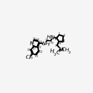 CN(C)CC1CCCC1NCCNc1ccnc2cc(Cl)ccc12